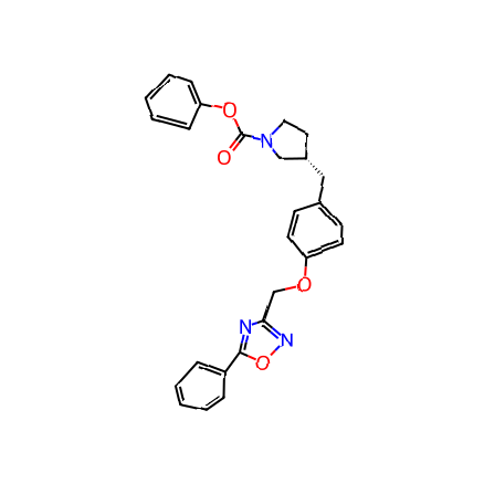 O=C(Oc1ccccc1)N1CC[C@H](Cc2ccc(OCc3noc(-c4ccccc4)n3)cc2)C1